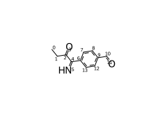 CCC(=O)C(=N)c1ccc(C=O)cc1